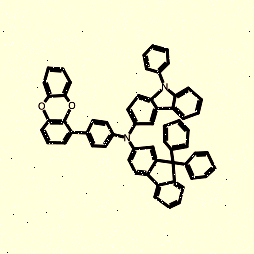 c1ccc(-n2c3ccccc3c3cc(N(c4ccc(-c5cccc6c5Oc5ccccc5O6)cc4)c4ccc5c(c4)C(c4ccccc4)(c4ccccc4)c4ccccc4-5)ccc32)cc1